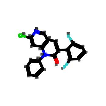 O=c1c(-c2c(F)cccc2F)cc2cnc(Cl)cc2n1-c1ccccc1